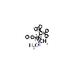 C/C=C\C=C(/C)c1nc(-c2ccc(-c3ccccc3)cc2)nc(-c2cc(-n3c4ccccc4c4ccccc43)cc(-n3c4ccccc4c4ccccc43)c2)n1